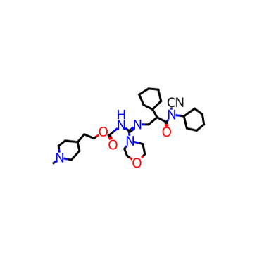 CN1CCC(CCOC(=O)NC(=NCC(C(=O)N(C#N)C2CCCCC2)C2CCCCC2)N2CCOCC2)CC1